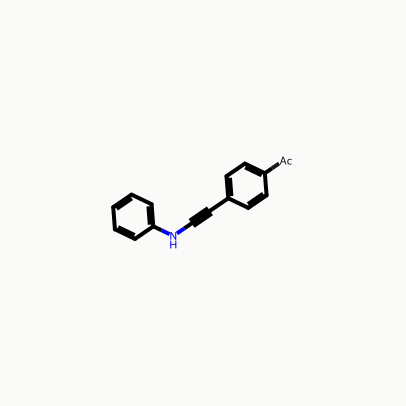 CC(=O)c1ccc(C#CNc2ccccc2)cc1